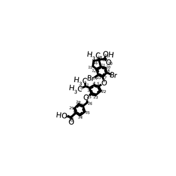 CC(C)c1cc(Oc2c(Br)cc3c(c2Br)CCC3(C)C(=O)O)ccc1OCc1ccc(C(=O)O)cc1